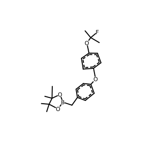 CC(C)(F)Oc1ccc(Oc2ccc(CB3OC(C)(C)C(C)(C)O3)cc2)cc1